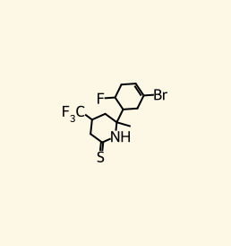 CC1(C2CC(Br)=CCC2F)CC(C(F)(F)F)CC(=S)N1